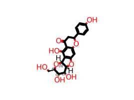 O=C1CC(c2ccc(O)cc2)Oc2cc3c(c(O)c21)[C@@H]1O[C@H](CO)[C@@H](O)[C@H](O)[C@@H]1O3